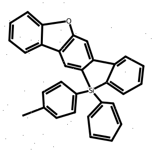 Cc1ccc([Si]2(c3ccccc3)c3ccccc3-c3cc4oc5ccccc5c4cc32)cc1